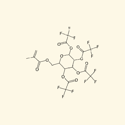 C=C(C)C(=O)OCC1OC(OC(=O)C(F)(F)F)C(OC(=O)C(F)(F)F)C(OC(=O)C(F)(F)F)C1OC(=O)C(F)(F)F